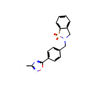 Cc1noc(-c2ccc(CN3Cc4ccccc4S3(=O)=O)cc2)n1